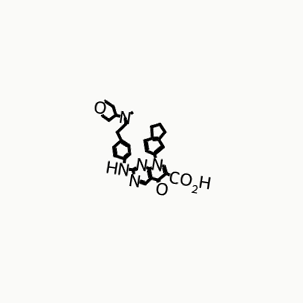 CN(CCc1ccc(Nc2ncc3c(=O)c(C(=O)O)cn(-c4ccc5c(c4)CCC5)c3n2)cc1)C1CCOCC1